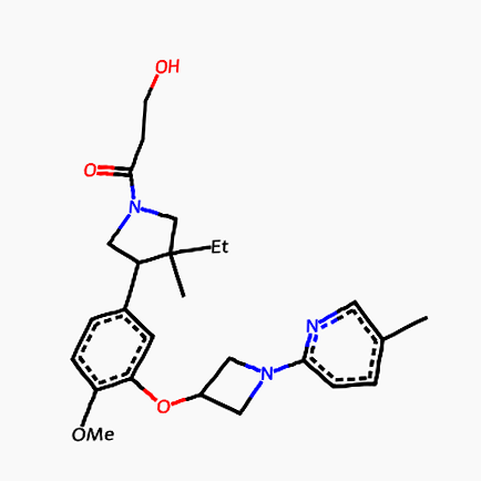 CCC1(C)CN(C(=O)CCO)CC1c1ccc(OC)c(OC2CN(c3ccc(C)cn3)C2)c1